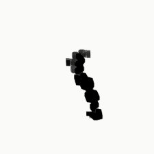 C[C@@H]1CCCN1CCc1ccc(-c2ccc3c(c2)CCN(C(=O)CC(O)CC(=O)O)C3)cc1